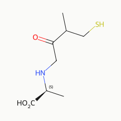 CC(CS)C(=O)CN[C@@H](C)C(=O)O